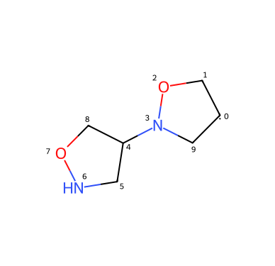 [CH]1CON(C2CNOC2)C1